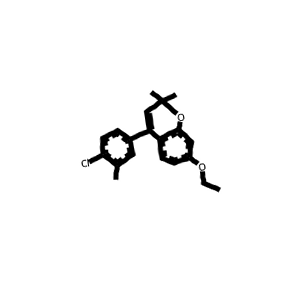 CCOc1ccc2c(c1)OC(C)(C)C=C2c1ccc(Cl)c(C)c1